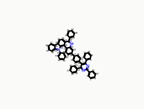 c1ccc(-c2nc(-c3ccccc3)c(-c3ccc(-c4ccc5c(c4)nc(-c4ccccc4)c4ccc6c7ccccc7n(-c7ccccc7)c6c45)cc3)c(-c3ccccc3)n2)cc1